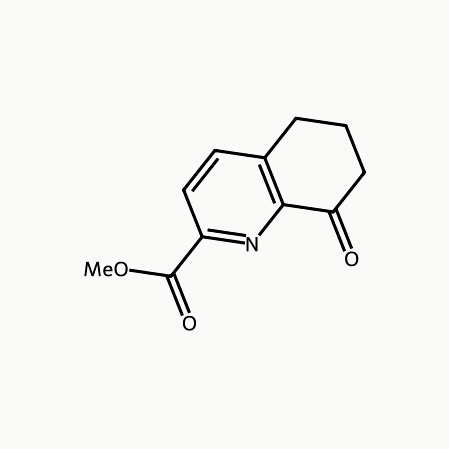 COC(=O)c1ccc2c(n1)C(=O)CCC2